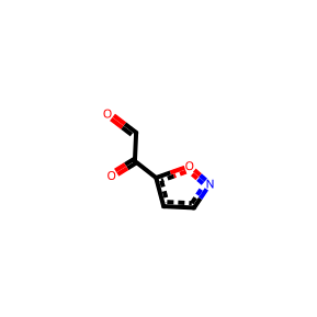 O=CC(=O)c1ccno1